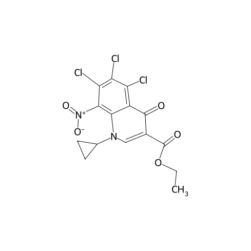 CCOC(=O)c1cn(C2CC2)c2c([N+](=O)[O-])c(Cl)c(Cl)c(Cl)c2c1=O